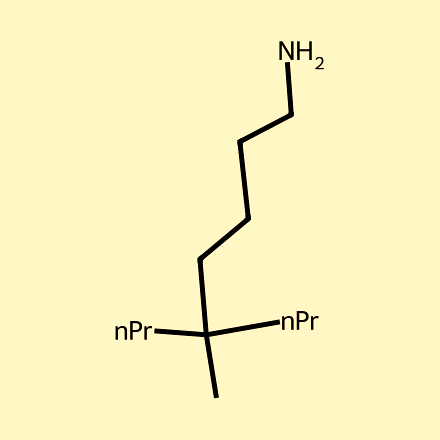 CCCC(C)(CCC)CCCCN